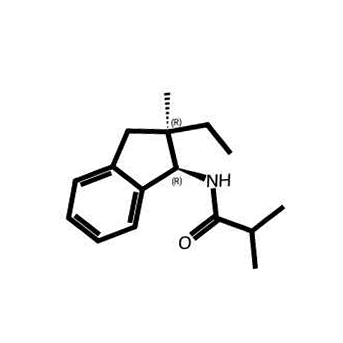 CC[C@]1(C)Cc2ccccc2[C@@H]1NC(=O)C(C)C